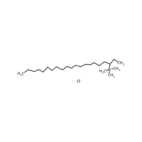 CCCCCCCCCCCCCCCCCCC(CC)[N+](C)(C)C.[Cl-]